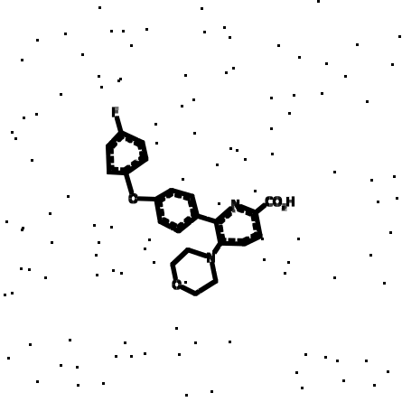 O=C(O)c1ccc(N2CCOCC2)c(-c2ccc(Oc3ccc(F)cc3)cc2)n1